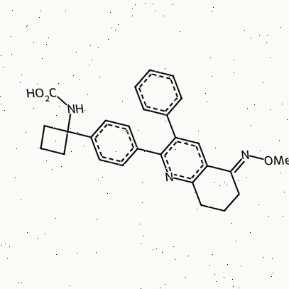 CON=C1CCCc2nc(-c3ccc(C4(NC(=O)O)CCC4)cc3)c(-c3ccccc3)cc21